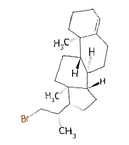 C[C@H](CBr)[C@H]1CC[C@H]2[C@@H]3CCC4=CCCC[C@]4(C)[C@H]3CC[C@]12C